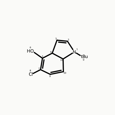 CC(C)(C)N1C=CC2C(O)=C(Cl)C=CC21